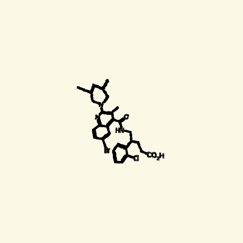 Cc1c(N2CC(C)CC(C)C2)nc2ccc(Br)cc2c1C(=O)NCC(CCC(=O)O)c1ccccc1Cl